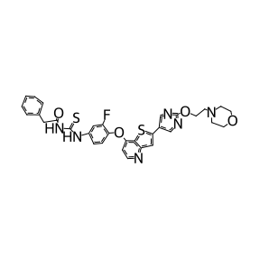 O=C(Cc1ccccc1)NC(=S)Nc1ccc(Oc2ccnc3cc(-c4cnc(OCCN5CCOCC5)nc4)sc23)c(F)c1